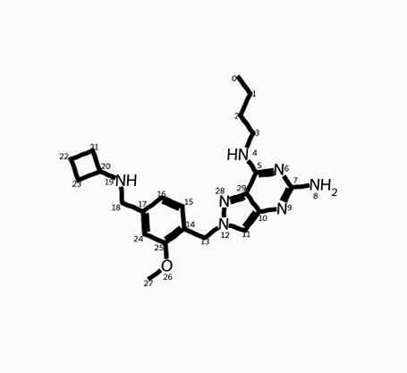 CCCCNc1nc(N)nc2cn(Cc3ccc(CNC4CCC4)cc3OC)nc12